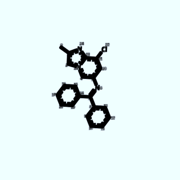 Cc1cn2cc(N=C(c3ccccc3)c3ccccc3)cc(Cl)c2n1